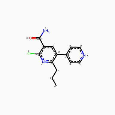 CCCc1nc(Cl)c(C(N)=O)cc1-c1ccncc1